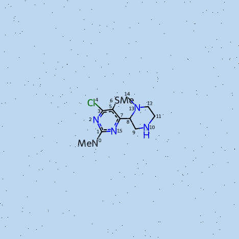 CNc1nc(Cl)c(SC)c(C2CNCCN2C)n1